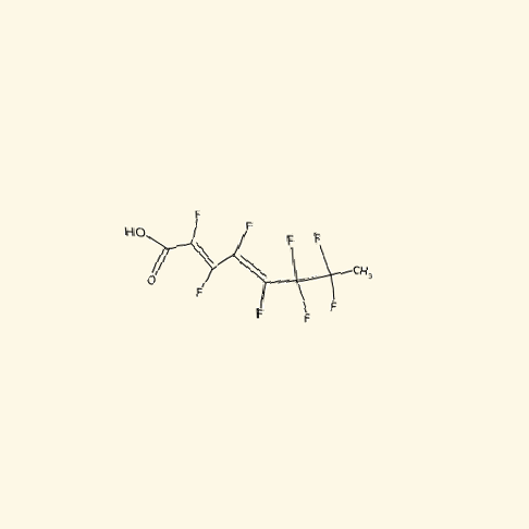 CC(F)(F)C(F)(F)C(F)=C(F)C(F)=C(F)C(=O)O